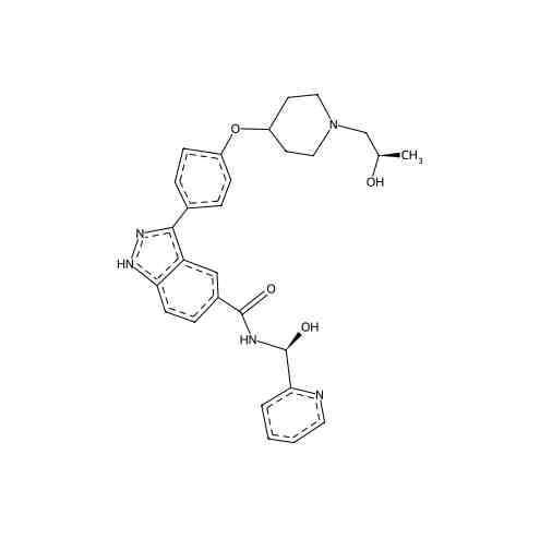 C[C@@H](O)CN1CCC(Oc2ccc(-c3n[nH]c4ccc(C(=O)N[C@@H](O)c5ccccn5)cc34)cc2)CC1